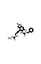 Cn1cc2c(C#CCNC(=O)OC(C)(C)C)c(NC(=O)OCc3ccccc3)c(Cl)cc2n1